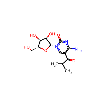 CC(C)C(=O)c1cn([C@@H]2O[C@H](CO)[C@@H](O)[C@H]2O)c(=O)nc1N